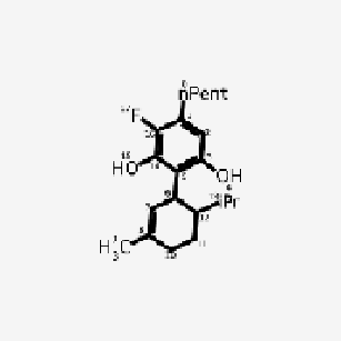 CCCCCc1cc(O)c(C2C=C(C)CCC2C(C)C)c(O)c1F